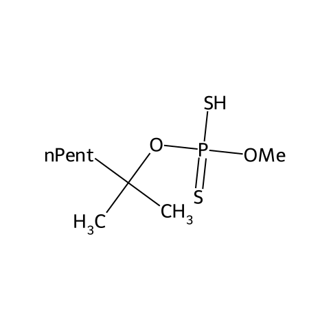 CCCCCC(C)(C)OP(=S)(S)OC